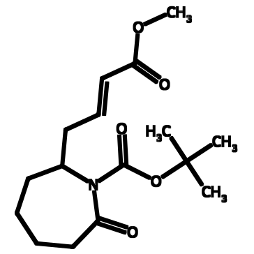 COC(=O)/C=C/CC1CCCCC(=O)N1C(=O)OC(C)(C)C